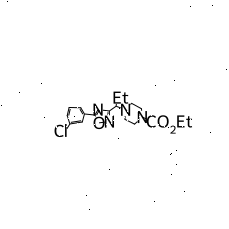 CCOC(=O)N1CCN(C(CC)c2noc(-c3cccc(Cl)c3)n2)CC1